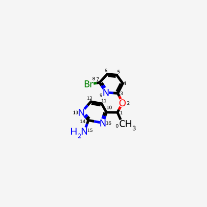 CC(Oc1cccc(Br)n1)c1ccnc(N)n1